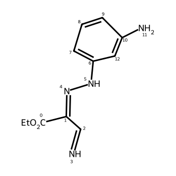 CCOC(=O)/C(C=N)=N/Nc1cccc(N)c1